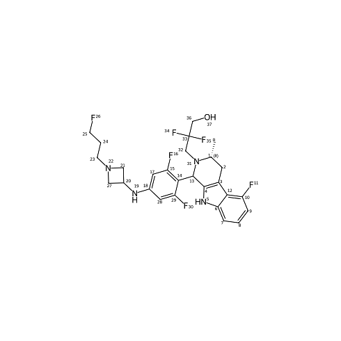 C[C@@H]1Cc2c([nH]c3cccc(F)c23)C(c2c(F)cc(NC3CN(CCCF)C3)cc2F)N1CC(F)(F)CO